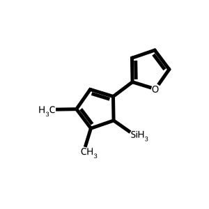 CC1=C(C)C([SiH3])C(c2ccco2)=C1